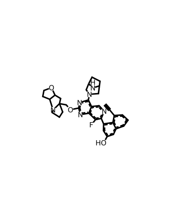 C#Cc1cccc2cc(O)cc(-c3ncc4c(N5CC6CCC(C5)N6)nc(OCC56CCCN5C5CCOC5C6)nc4c3F)c12